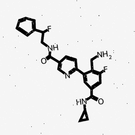 NCc1c(F)cc(C(=O)NC2CC2)cc1-c1ccc(C(=O)NCC(F)c2ccccc2)cn1